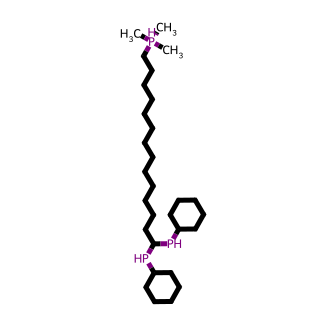 C[PH](C)(C)CCCCCCCCCCCCCC(PC1CCCCC1)PC1CCCCC1